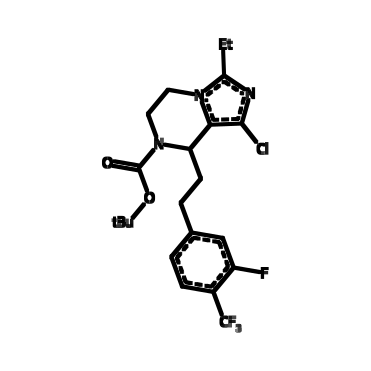 CCc1nc(Cl)c2n1CCN(C(=O)OC(C)(C)C)C2CCc1ccc(C(F)(F)F)c(F)c1